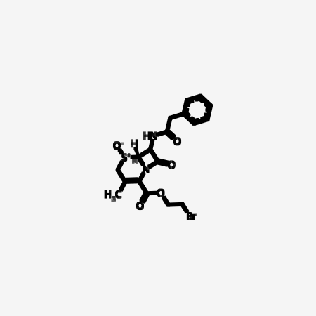 CC1=C(C(=O)OCCBr)N2C(=O)C(NC(=O)Cc3ccccc3)[C@H]2[S+]([O-])C1